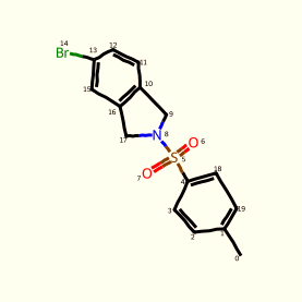 Cc1ccc(S(=O)(=O)N2Cc3ccc(Br)cc3C2)cc1